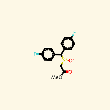 COC(=O)C[S@+]([O-])C(c1ccc(F)cc1)c1ccc(F)cc1